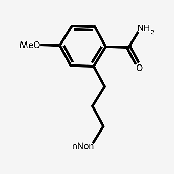 CCCCCCCCCCCCc1cc(OC)ccc1C(N)=O